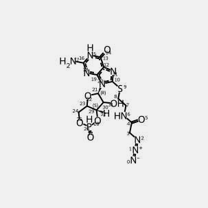 [N-]=[N+]=NCC(=O)NCCSc1nc2c(=O)[nH]c(N)nc2n1[C@@H]1OC2CO[PH](=O)O[C@H]2C1O